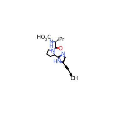 C#CC#Cc1cnc(C2CCCN2C(=O)[C@@H](NC(=O)O)C(C)C)[nH]1